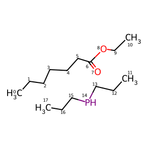 CCCCCCC(=O)OCC.CCCPCCC